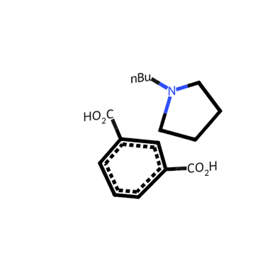 CCCCN1CCCC1.O=C(O)c1cccc(C(=O)O)c1